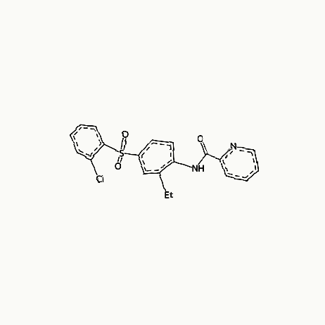 CCc1cc(S(=O)(=O)c2ccccc2Cl)ccc1NC(=O)c1ccccn1